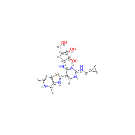 Cc1cc2sc(-c3c(C)nc(NCC4CC4)nc3N[C@@H]3C[C@H](CO)[C@@H](O)[C@H]3O)nc2c(C)n1